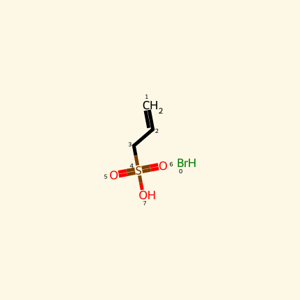 Br.C=CCS(=O)(=O)O